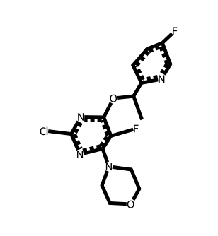 CC(Oc1nc(Cl)nc(N2CCOCC2)c1F)c1ccc(F)cn1